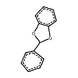 [c]1ccc2c(c1)OC(c1ccccc1)O2